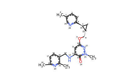 Cc1ccc([C@H]2C[C@@H]2COc2cc(NCc3ccc(C)nc3C)c(=O)n(C)n2)nc1